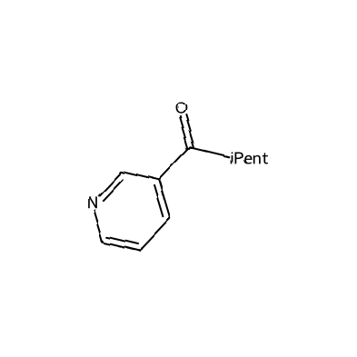 CCCC(C)C(=O)c1cccnc1